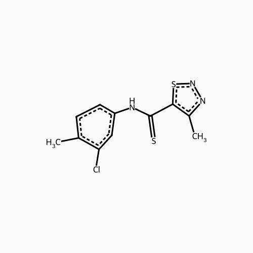 Cc1ccc(NC(=S)c2snnc2C)cc1Cl